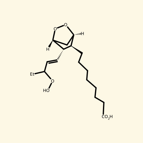 CCC(C=C[C@H]1[C@H](CCCCCCCC(=O)O)[C@H]2C[C@H]1OO2)OO